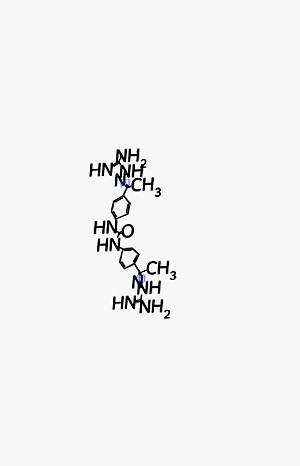 C/C(=N\NC(=N)N)c1ccc(NC(=O)Nc2ccc(/C(C)=N/NC(=N)N)cc2)cc1